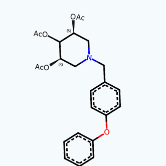 CC(=O)OC1[C@@H](OC(C)=O)CN(Cc2ccc(Oc3ccccc3)cc2)C[C@H]1OC(C)=O